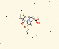 C=CC[S+]([O-])c1cc2n(c1C(=O)c1ccsc1)CCC2C(=O)O